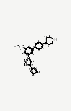 O=C(O)c1cc(-c2ccc(C3CCNCC3)cc2)cc(-n2cc(-c3nccs3)nn2)c1